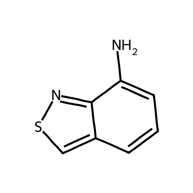 Nc1cccc2csnc12